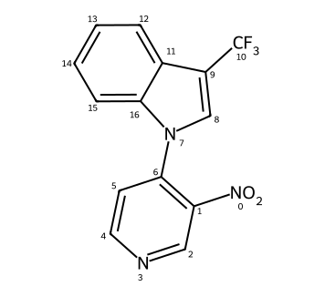 O=[N+]([O-])c1cnccc1-n1cc(C(F)(F)F)c2ccccc21